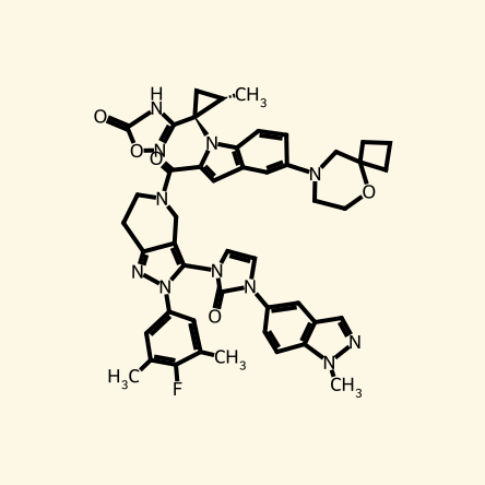 Cc1cc(-n2nc3c(c2-n2ccn(-c4ccc5c(cnn5C)c4)c2=O)CN(C(=O)c2cc4cc(N5CCOC6(CCC6)C5)ccc4n2[C@@]2(c4noc(=O)[nH]4)C[C@@H]2C)CC3)cc(C)c1F